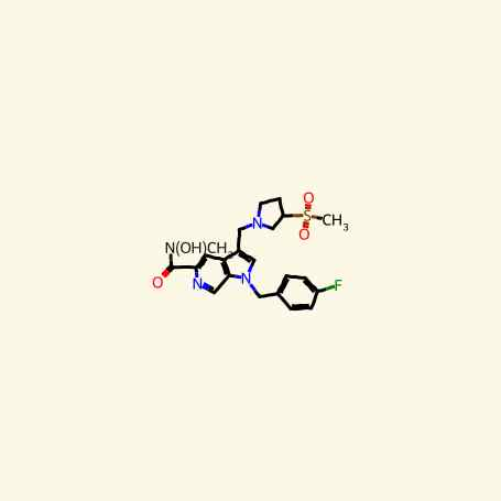 CN(O)C(=O)c1cc2c(CN3CCC(S(C)(=O)=O)C3)cn(Cc3ccc(F)cc3)c2cn1